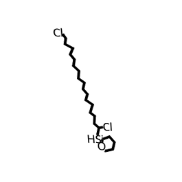 ClCCCCCCCCCCCCCCCCC(Cl)C[SiH]1CCCCO1